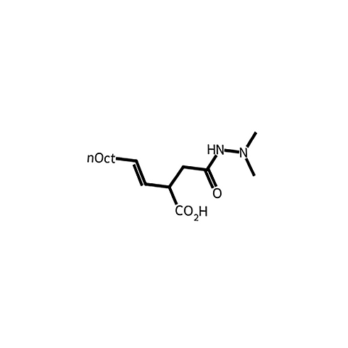 CCCCCCCCC=CC(CC(=O)NN(C)C)C(=O)O